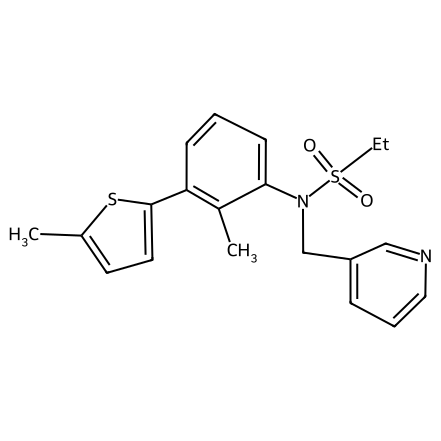 CCS(=O)(=O)N(Cc1cccnc1)c1cccc(-c2ccc(C)s2)c1C